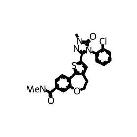 CNC(=O)c1ccc2c(c1)OCCc1cc(-c3nn(C)c(=O)n3-c3ccccc3Cl)sc1-2